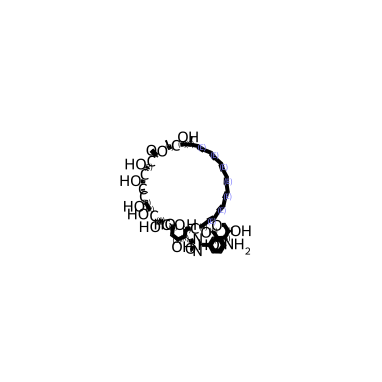 C[C@H]1C[C@H](O)[C@@H](C)/C=C/C=C/C=C/C=C/C=C/C=C/C=C/[C@H](O[C@@H]2OC[C@@H](O)[C@H](N)[C@@H]2O)C[C@@H]2O[C@](O)(C[C@@H](O)C[C@@H](O)[C@H](O)CCC(O)C[C@@H](O)CC(=O)O1)C[C@H](O)[C@H]2c1nc(-c2ccccc2)no1